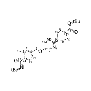 Cc1cc(COc2cnc(N3CCN(C(=O)OC(C)(C)C)CC3)nc2)ccc1C(=O)NC(C)(C)C